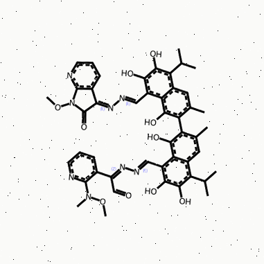 CON(C)c1ncccc1/C(C=O)=N/N=C/c1c(O)c(O)c(C(C)C)c2cc(C)c(-c3c(C)cc4c(C(C)C)c(O)c(O)c(/C=N/N=C5/C(=O)N(OC)c6ncccc65)c4c3O)c(O)c12